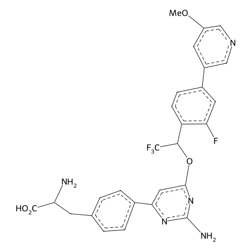 COc1cncc(-c2ccc(C(Oc3cc(-c4ccc(CC(N)C(=O)O)cc4)nc(N)n3)C(F)(F)F)c(F)c2)c1